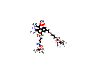 COC(=O)C1=C(C)NC(C)=C(C(=O)OC)C1c1c(CCOCCCNC(=O)OC(C)(C)C)cc(CCOCCCNC(=O)OC(C)(C)C)cc1[N+](=O)[O-]